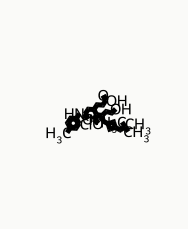 Cc1ccc(NC(=O)CC(CCC(=O)O)c2noc(C3CC(CC(C)(C)C)C3)c2CCO)c(Cl)c1